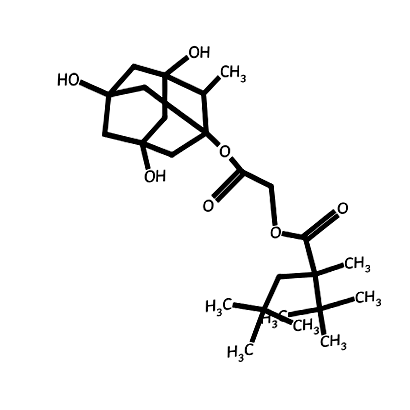 CC1C2(O)CC3(O)CC(O)(C2)CC1(OC(=O)COC(=O)C(C)(CC(C)(C)C)C(C)(C)C)C3